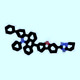 c1ccc(Nc2c3ccccc3c(-c3ccc4c(c3)oc3cc(-c5nc6ccccn6n5)ccc34)c3cccc(-c4ccc(-c5ccccc5)cc4)c23)cc1